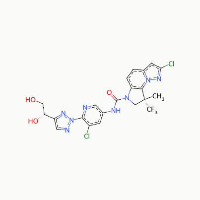 C[C@@]1(C(F)(F)F)CN(C(=O)Nc2cnc(-n3ncc([C@H](O)CO)n3)c(Cl)c2)c2ccc3cc(Cl)nn3c21